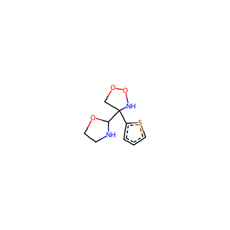 c1csc(C2(C3NCCO3)COON2)c1